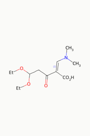 CCOC(CC(=O)/C(=C/N(C)C)C(=O)O)OCC